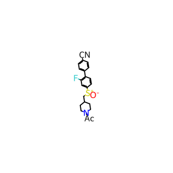 CC(=O)N1CCC(C[S+]([O-])c2ccc(-c3ccc(C#N)cc3)c(F)c2)CC1